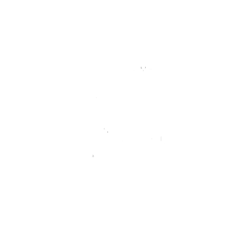 CCOC(=O)c1c(-c2ccccc2C)c(C(C)=O)n2c1-c1cc(OC)ccc1CC2